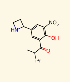 CC(C)C(C)C(=O)c1cc(C2CCN2)cc([N+](=O)[O-])c1O